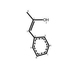 CC(O)=Cc1ccccc1